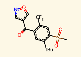 CC(C)(C)c1cc(C(=O)c2cnoc2)c(C(F)(F)F)cc1S(C)(=O)=O